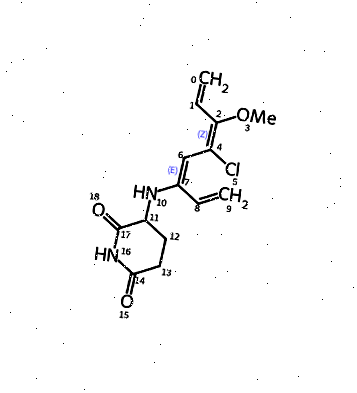 C=C/C(OC)=C(Cl)\C=C(/C=C)NC1CCC(=O)NC1=O